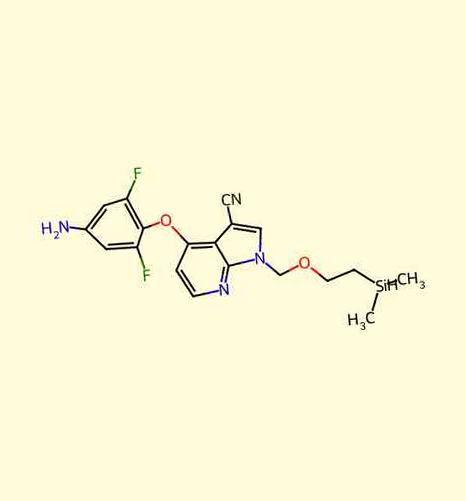 C[SiH](C)CCOCn1cc(C#N)c2c(Oc3c(F)cc(N)cc3F)ccnc21